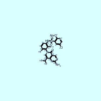 COc1ncc(Cl)cc1S(=O)(=O)Nc1ccc(F)c(-n2cc(C(F)F)c3nc(N)ncc3c2=O)c1F